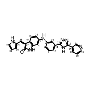 O=C1Nc2cc(Nc3cccc(-c4nnc(-c5cccnc5)[nH]4)c3)ccc2/C1=C/c1ccc[nH]1